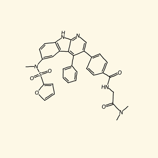 CN(C)C(=O)CNC(=O)c1ccc(-c2cnc3[nH]c4ccc(N(C)S(=O)(=O)c5ccco5)cc4c3c2-c2ccccc2)cc1